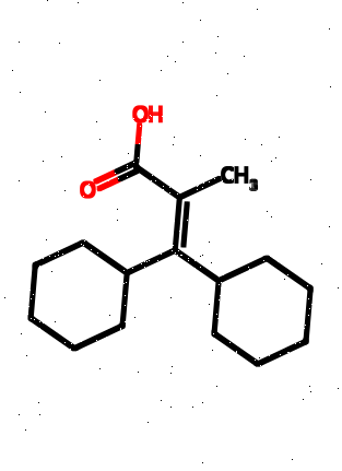 CC(C(=O)O)=C(C1CCCCC1)C1CCCCC1